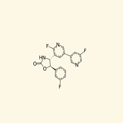 O=C1N[C@H](c2cc(-c3cncc(F)c3)cnc2F)[C@@H](c2cccc(F)c2)O1